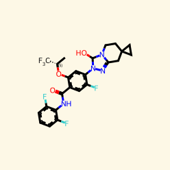 C[C@H](Oc1cc(N2N=C3CC4(CCN3C2O)CC4)c(F)cc1C(=O)Nc1c(F)cccc1F)C(F)(F)F